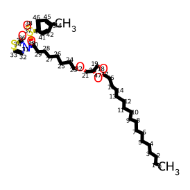 CCCCCCCCCCCCCCCCCC1OCC(COCCCCCCCCN2C=CSC2OS(=O)(=O)c2ccc(C)cc2)O1